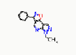 CCn1ncc2c3onc(-c4ccccc4)c3cnc21